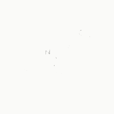 C=COc1cccc2c1ncc1ccccc12